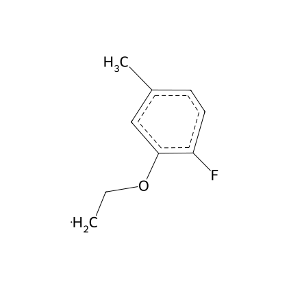 [CH2]COc1cc(C)ccc1F